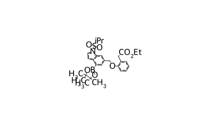 CCOC(=O)Cc1ccccc1OCc1cc(B2OC(C)(C)C(C)(C)O2)c2ccn(S(=O)(=O)C(C)C)c2c1